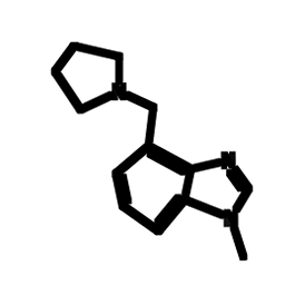 Cn1cnc2c(CN3CCCC3)cccc21